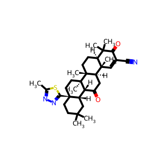 Cc1nnc([C@]23CCC(C)(C)C[C@H]2[C@H]2C(=O)C[C@@H]4[C@@]5(C)C=C(C#N)C(=O)C(C)(C)[C@@H]5CC[C@@]4(C)[C@]2(C)CC3)s1